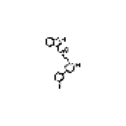 [O-][S+](CCC1CC(c2cccc(F)c2)=CCN1)Cc1c[nH]c2ccccc12